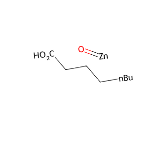 CCCCCCCC(=O)O.[O]=[Zn]